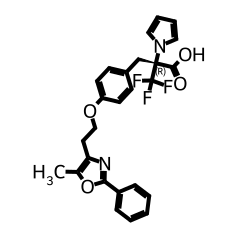 Cc1oc(-c2ccccc2)nc1CCOc1ccc(C[C@](C(=O)O)(n2cccc2)C(F)(F)F)cc1